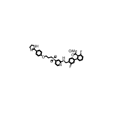 COC(=O)c1c(F)cccc1-c1ccc(CNc2cc(S(=O)(=O)CCCOc3ccc(C4=NCCN4)cc3)ccn2)c(F)c1